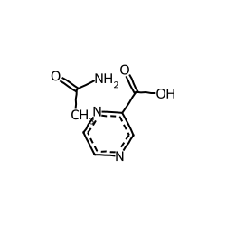 CC(N)=O.O=C(O)c1cnccn1